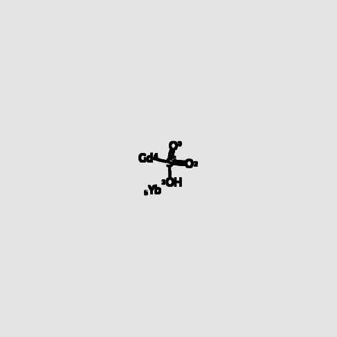 O=[S](=O)(O)[Gd].[Yb]